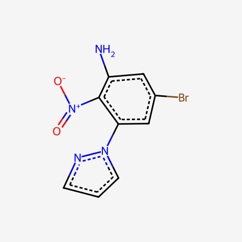 Nc1cc(Br)cc(-n2cccn2)c1[N+](=O)[O-]